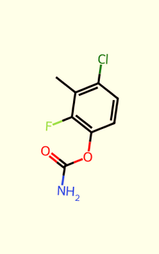 Cc1c(Cl)ccc(OC(N)=O)c1F